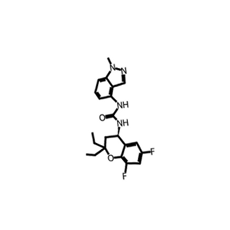 CCC1(CC)C[C@@H](NC(=O)Nc2cccc3c2cnn3C)c2cc(F)cc(F)c2O1